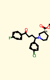 COC(=O)[C@@H]1CCCN(C(CCC(=O)c2ccc(F)cc2)c2ccc(Cl)cc2)C1